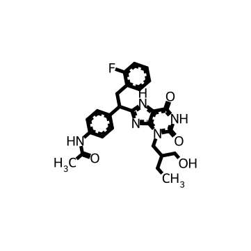 CCC(CO)Cn1c(=O)[nH]c(=O)c2[nH]c(C(Cc3ccccc3F)c3ccc(NC(C)=O)cc3)nc21